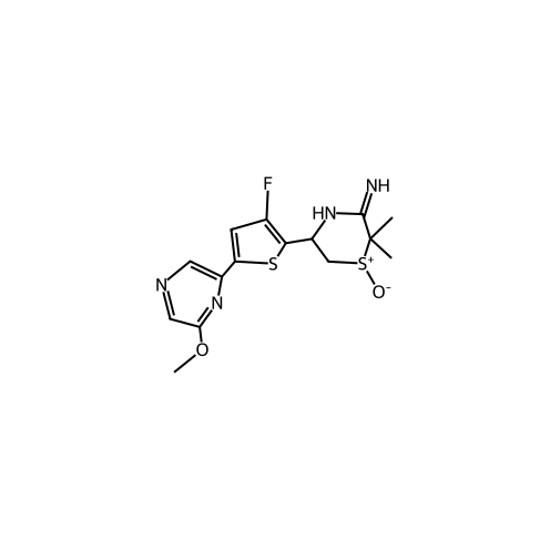 COc1cncc(-c2cc(F)c(C3C[S+]([O-])C(C)(C)C(=N)N3)s2)n1